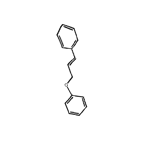 [c]1ccccc1OCC=Cc1ccccc1